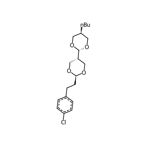 CCCC[C@H]1CO[C@H]([C@H]2CO[C@H](CCc3ccc(Cl)cc3)OC2)OC1